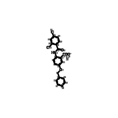 O=C(Nc1ccc(OCc2ccncc2)cc1C(=O)[O-])c1ccc(Cl)cc1Cl.[Li+]